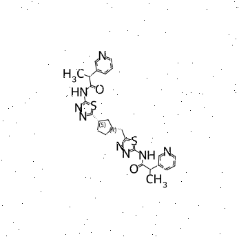 CC(C(=O)Nc1nnc(C[C@@H]2CC[C@H](c3nnc(NC(=O)C(C)c4cccnc4)s3)C2)s1)c1cccnc1